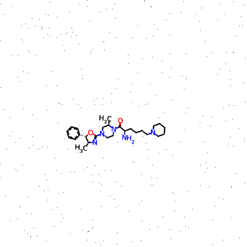 C[C@@H]1N=C(N2CCN(C(=O)[C@H](N)CCCCN3CCCCC3)[C@H](C)C2)O[C@H]1c1ccccc1